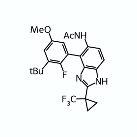 COc1cc(-c2c(NC(C)=O)ccc3[nH]c(C4(C(F)(F)F)CC4)nc23)c(F)c(C(C)(C)C)c1